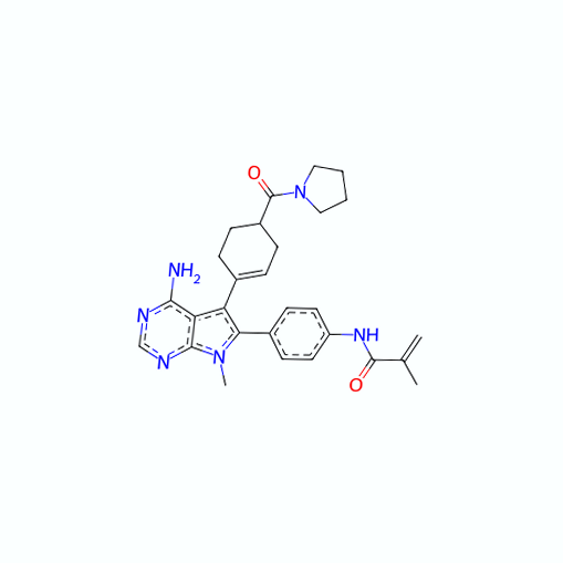 C=C(C)C(=O)Nc1ccc(-c2c(C3=CCC(C(=O)N4CCCC4)CC3)c3c(N)ncnc3n2C)cc1